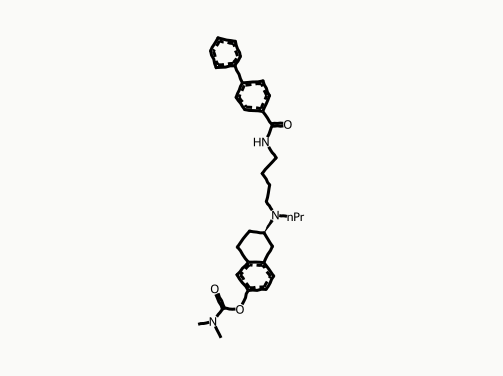 CCCN(CCCCNC(=O)c1ccc(-c2ccccc2)cc1)[C@@H]1CCc2cc(OC(=O)N(C)C)ccc2C1